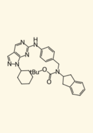 CC(C)(C)OC(=O)N(Cc1ccc(Nc2ncc3cnn(C4CCCCC4)c3n2)cc1)C1Cc2ccccc2C1